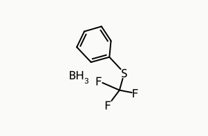 B.FC(F)(F)Sc1ccccc1